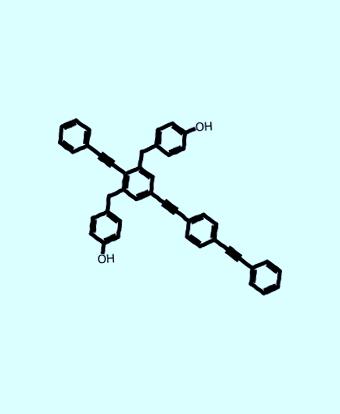 Oc1ccc(Cc2cc(C#Cc3ccc(C#Cc4ccccc4)cc3)cc(Cc3ccc(O)cc3)c2C#Cc2ccccc2)cc1